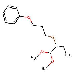 CC[C](SCCCOc1ccccc1)C(OC)OC